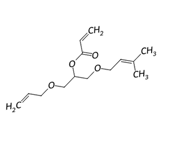 C=CCOCC(COCC=C(C)C)OC(=O)C=C